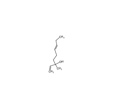 C=CC(C)(O)CCC=CCC